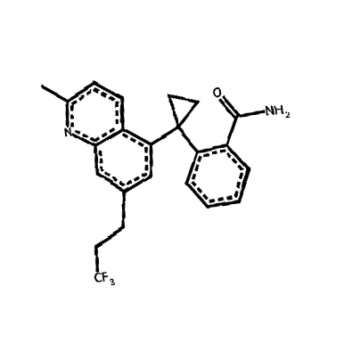 Cc1ccc2c(C3(c4ccccc4C(N)=O)CC3)cc(CCC(F)(F)F)cc2n1